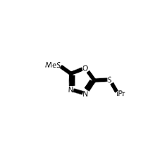 CSc1nnc(SC(C)C)o1